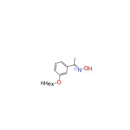 CCCCCCOc1cccc(/C(C)=N/O)c1